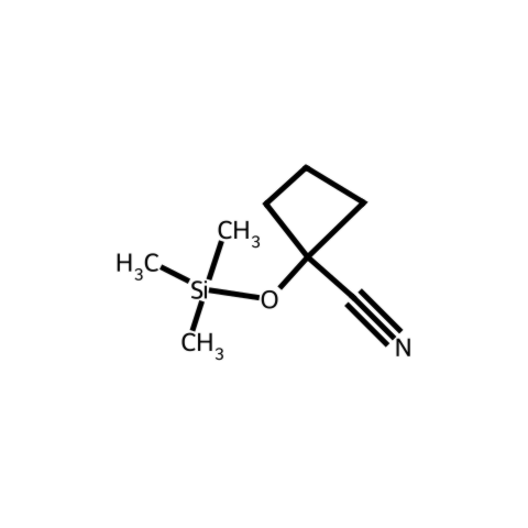 C[Si](C)(C)OC1(C#N)CCC1